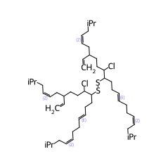 C=CC(C/C=C\CC(C)C)CCC(Cl)C(CC/C=C/CC/C=C\CC(C)C)SSC(CC/C=C/CC/C=C\CC(C)C)C(Cl)CCC(C=C)C/C=C\CC(C)C